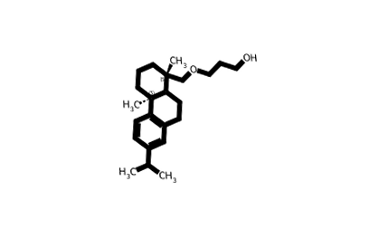 CC(C)c1ccc2c(c1)CCC1[C@@](C)(COCCCO)CCC[C@]21C